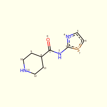 O=C(Nc1nccs1)C1CCNCC1